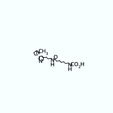 CN1CCC[C@H]1c1cncc(CCCNC(=O)CCCCCCNC(=O)O)c1